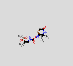 CC(CNC(=O)ON=C1SCC(=O)NC1(C)C)S(C)(=O)=O